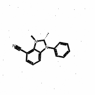 C[C@H]1N(C)c2c(C#N)cccc2N1c1ccccc1